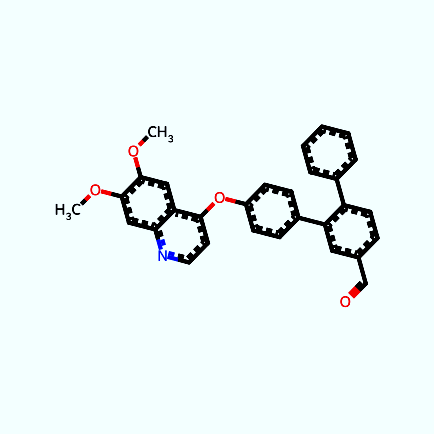 COc1cc2nccc(Oc3ccc(-c4cc(C=O)ccc4-c4ccccc4)cc3)c2cc1OC